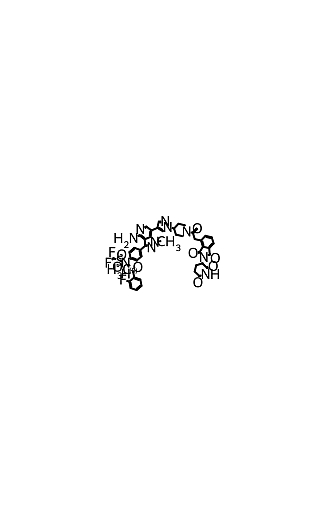 C[C@H](Oc1cc(-c2nn(C)c3c(-c4cnn(C5CCN(C(=O)Cc6cccc7c6C(=O)N(C6CCC(=O)NC6=O)C7=O)CC5)c4)cnc(N)c23)ccc1NS(=O)(=O)C(F)F)c1ccccc1F